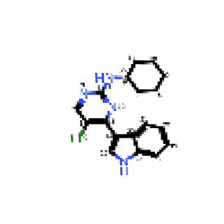 Clc1cnc(N[C@@H]2[CH]CCCC2)nc1-c1c[nH]c2ccccc12